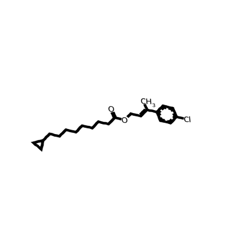 CC(=CCOC(=O)CCCCCCCCC1CC1)c1ccc(Cl)cc1